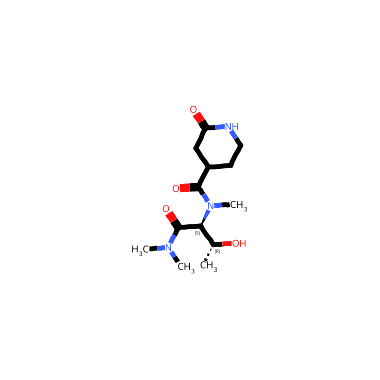 C[C@@H](O)[C@@H](C(=O)N(C)C)N(C)C(=O)C1CCNC(=O)C1